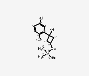 [2H]C1(c2cc(Cl)ccc2C#N)CC(O[Si](C)(C)C(C)(C)C)C1